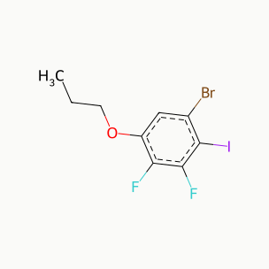 CCCOc1cc(Br)c(I)c(F)c1F